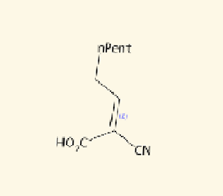 CCCCCC/C=C(/C#N)C(=O)O